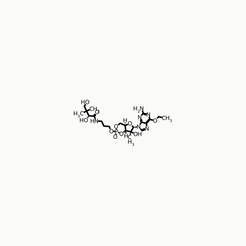 CCOc1nc(N)nc2c1ncn2[C@@H]1O[C@@H]2COP(=O)(OCCCNC(=O)[C@@H](O)C(C)(C)CO)O[C@H]2[C@@]1(C)O